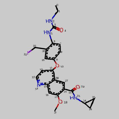 CCNC(=O)Nc1ccc(Oc2ccnc3cc(OC)c(C(=O)NC4CC4)cc23)cc1CI